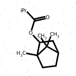 CC(C)C(=O)OC1CC2CCC1(C)C2(C)C